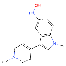 CC(C)N1CC=C(c2cn(C)c3ccc(NO)cc23)CC1